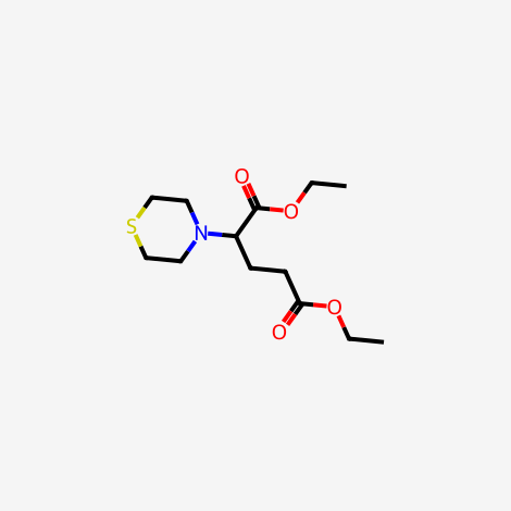 CCOC(=O)CCC(C(=O)OCC)N1CCSCC1